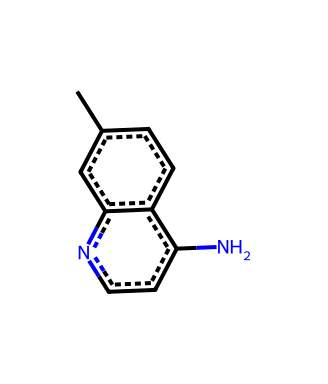 Cc1ccc2c(N)ccnc2c1